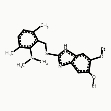 CCOc1cc2nc(SCc3c(C)ccc(C)c3N(C)C)[nH]c2cc1OCC